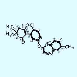 CCc1ccc(Oc2cnc3cc(C)ccc3n2)cc1C1=C(O)CC(C)(C)CC1=O